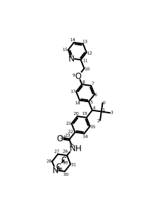 CC(C)(C)C(c1ccc(OCc2ccccn2)cc1)c1ccc(C(=O)NC23CCN(CC2)CC3)cc1